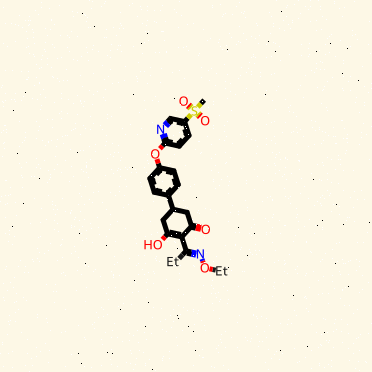 CCON=C(CC)C1=C(O)CC(c2ccc(Oc3ccc(S(C)(=O)=O)cn3)cc2)CC1=O